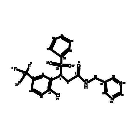 O=C(CN(c1cc(C(F)(F)F)ccc1Cl)S(=O)(=O)c1ccccc1)NCc1cncnc1